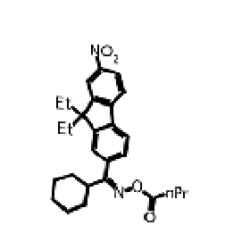 CCCC(=O)O/N=C(\c1ccc2c(c1)C(CC)(CC)c1cc([N+](=O)[O-])ccc1-2)C1CCCCC1